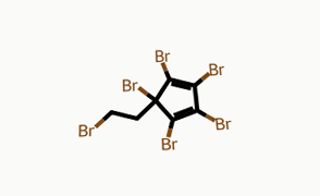 BrCCC1(Br)C(Br)=C(Br)C(Br)=C1Br